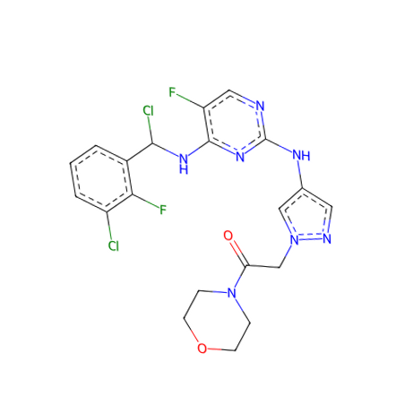 O=C(Cn1cc(Nc2ncc(F)c(NC(Cl)c3cccc(Cl)c3F)n2)cn1)N1CCOCC1